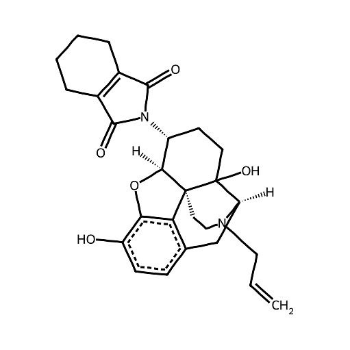 C=CCN1CC[C@]23c4c5ccc(O)c4O[C@H]2[C@H](N2C(=O)C4=C(CCCC4)C2=O)CCC3(O)[C@H]1C5